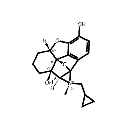 C[N@@+]1(CC2CC2)[C@@H]2C13C[C@]14c5c3ccc(O)c5O[C@H]1CCC[C@@]24O